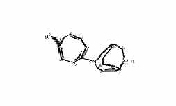 Brc1ccc(N2C=C3CC2CO3)nc1